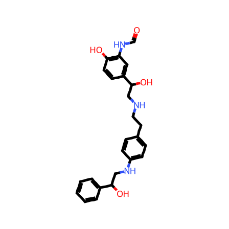 O=CNc1cc(C(O)CNCCc2ccc(NCC(O)c3ccccc3)cc2)ccc1O